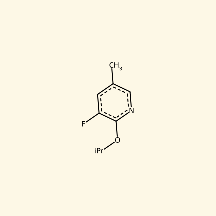 Cc1cnc(OC(C)C)c(F)c1